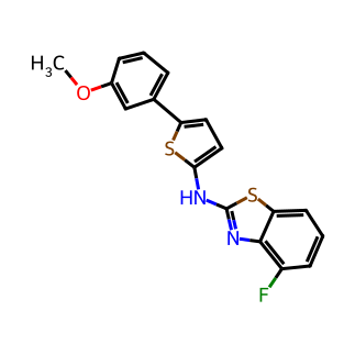 COc1cccc(-c2ccc(Nc3nc4c(F)cccc4s3)s2)c1